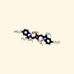 C=c1/c(=C/C2=C(O)C(=CC3=[N+](C)c4ccc(C(=O)O)cc4C3(C)C)C2=O)n(C)c2ccc(C(=O)O)cc12